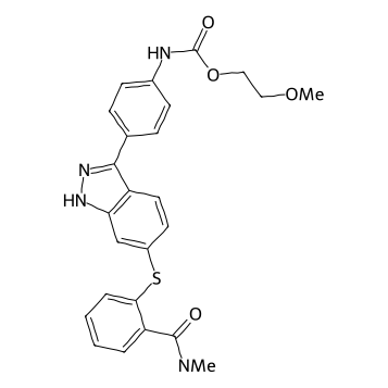 CNC(=O)c1ccccc1Sc1ccc2c(-c3ccc(NC(=O)OCCOC)cc3)n[nH]c2c1